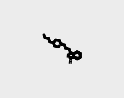 CCCCC1CCN(CCCc2n[nH]c3ccccc23)CC1